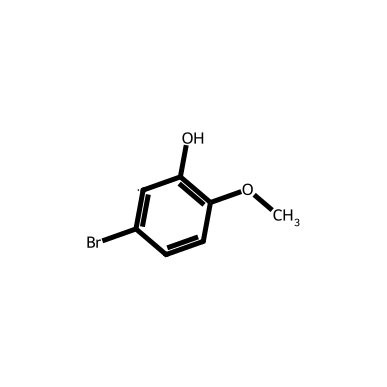 COc1ccc(Br)[c]c1O